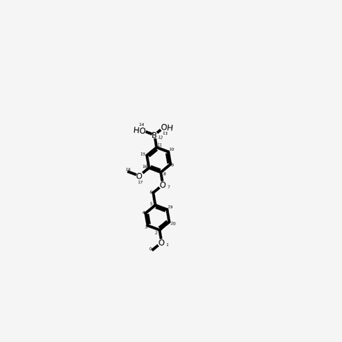 COc1ccc(COc2ccc(B(O)O)cc2OC)cc1